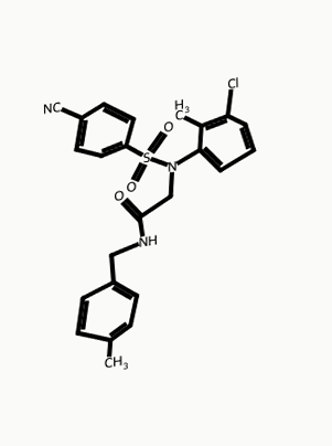 Cc1ccc(CNC(=O)CN(c2cccc(Cl)c2C)S(=O)(=O)c2ccc(C#N)cc2)cc1